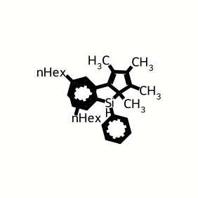 CCCCCCc1cc(CCCCCC)cc(C2=C(C)C(C)=C(C)C2(C)[SiH](c2ccccc2)c2ccccc2)c1